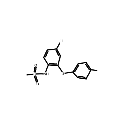 Cc1ccc(Sc2cc(Cl)ccc2NS(C)(=O)=O)cc1